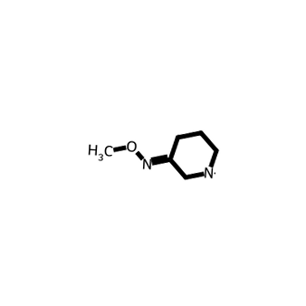 CON=C1CCC[N]C1